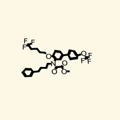 COC(=O)C(=O)N(CCCCc1ccccc1)c1cc(-c2ccc(OC(F)(F)F)cc2)ccc1OCCCCC(F)(F)F